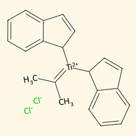 C[C](C)=[Ti+2]([CH]1C=Cc2ccccc21)[CH]1C=Cc2ccccc21.[Cl-].[Cl-]